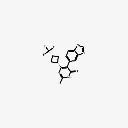 Cc1nc([C@H]2C[C@@H](C(F)(F)F)C2)c(-c2ccc3ocnc3c2)c(=O)[nH]1